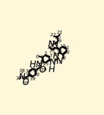 Cc1ccc(Nc2ncc3cccc(-c4ccnn4CC(C)C)c3n2)cc1NC(=O)c1ccc(C(=O)N(C)C)cc1